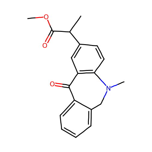 COC(=O)C(C)c1ccc2c(c1)C(=O)c1ccccc1CN2C